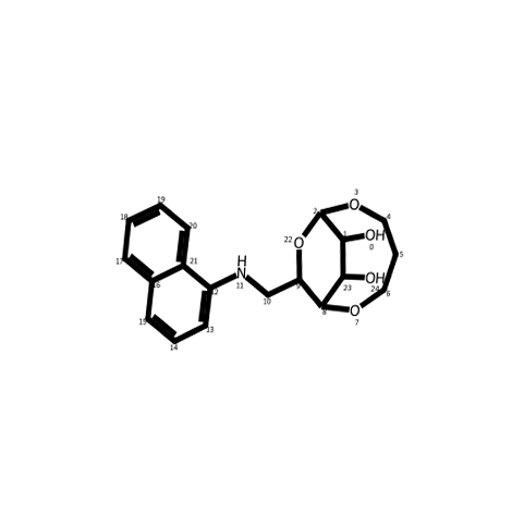 OC1C2OCCCOC(C(CNc3cccc4ccccc34)O2)C1O